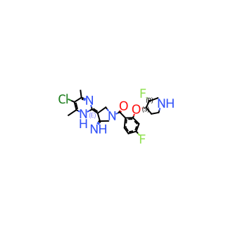 CC1=N/C(=C2\CN(C(=O)c3ccc(F)cc3O[C@H]3CCNC[C@H]3F)CC2=N)NC(C)=C1Cl